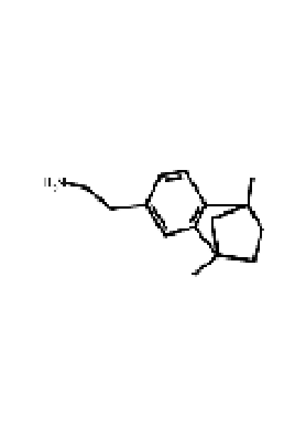 CC12CCC(C)(C1)c1cc(CCN)ccc12